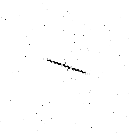 O=C(CCC(=O)OCCCCCCCCO)OCCCCCCCCO